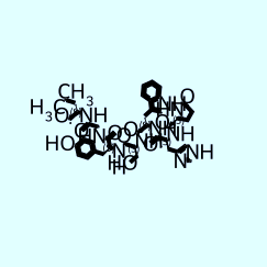 CC(C)C[C@@H]([C]=O)NC(=O)CNC(=O)[C@H](Cc1ccc(O)cc1)NC(=O)[C@H](CO)NC(=O)[C@H](Cc1c[nH]c2ccccc12)NC(=O)[C@H](Cc1c[nH]cn1)NC(=O)[C@@H]1CCC(=O)N1